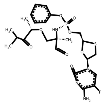 CC(C)C(=O)[C@H](C)OC[C@](C)(C=O)N[P@](=O)(OC[C@@H]1O[C@H](n2cc(F)c(N)nc2=O)CS1)Oc1ccccc1